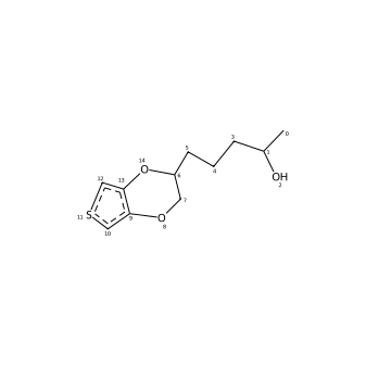 CC(O)CCCC1COc2cscc2O1